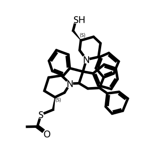 CC(=O)SC[C@H]1CCCN(C(CC(c2ccccc2)c2ccccc2)C(c2ccccc2)(c2ccccc2)N2CCC[C@H](CS)C2)C1